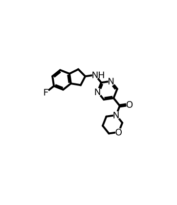 O=C(c1cnc(NC2Cc3ccc(F)cc3C2)nc1)N1CCCOC1